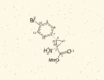 COC(=O)[C@]1(N)C[C@H]1c1ccc(Br)cc1